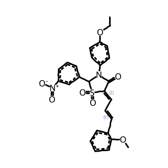 CCOc1ccc(N2C(=O)/C(=C/C=C/c3ccccc3OC)S(=O)(=O)C2c2cccc([N+](=O)[O-])c2)cc1